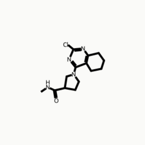 CNC(=O)C1CCN(c2nc(Cl)nc3c2CCCC3)C1